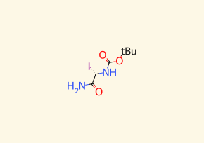 CC(C)(C)OC(=O)N[C@@H](I)C(N)=O